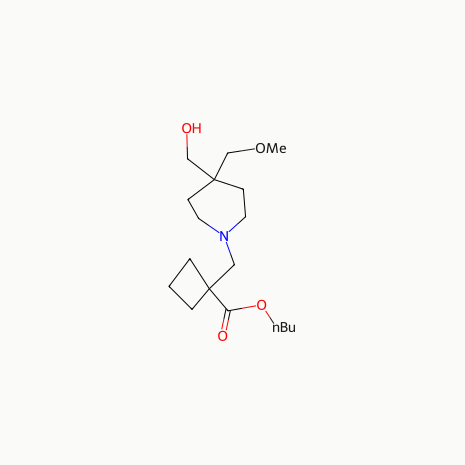 CCCCOC(=O)C1(CN2CCC(CO)(COC)CC2)CCC1